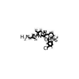 CSNc1ccc(Cl)cc1C(=O)N1CCCCC1c1cc2nc(N3CC(CN)C3)c(C)cn2n1